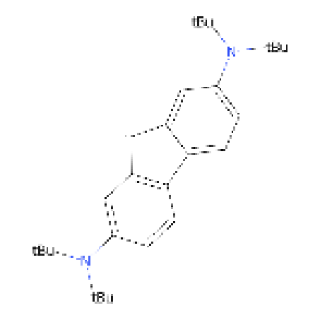 CC(C)(C)N(c1ccc2c(c1)[CH]c1cc(N(C(C)(C)C)C(C)(C)C)ccc1-2)C(C)(C)C